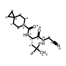 CC(F)(F)C[C@H](NC(=O)N1CCC2(CC1)CC2)C(=O)NCC#N